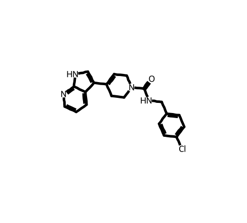 O=C(NCc1ccc(Cl)cc1)N1CC=C(c2c[nH]c3ncccc23)CC1